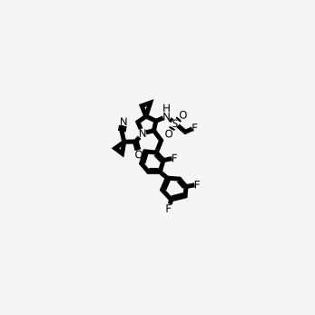 N#CC1(C(=O)N2CC3(CC3)C(NS(=O)(=O)CF)C2Cc2cccc(-c3cc(F)cc(F)c3)c2F)CC1